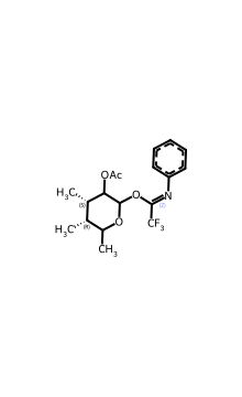 CC(=O)OC1C(O/C(=N\c2ccccc2)C(F)(F)F)OC(C)[C@H](C)[C@@H]1C